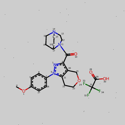 COc1ccc(-n2nc(C(=O)N3CCN4CCC3CC4)c3c2CCOC3)cc1.O=C(O)C(F)(F)F